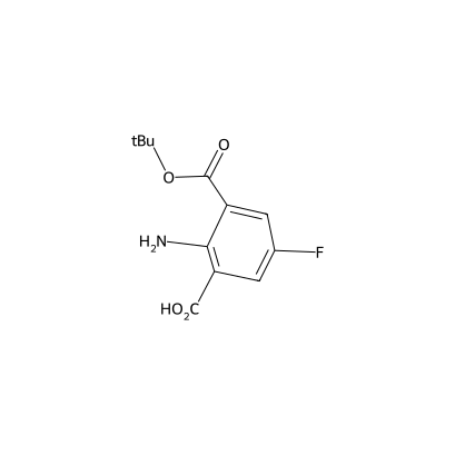 CC(C)(C)OC(=O)c1cc(F)cc(C(=O)O)c1N